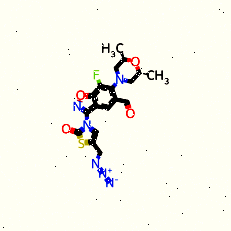 C[C@@H]1CN(c2c(C=O)cc3c(-n4cc(CN=[N+]=[N-])sc4=O)noc3c2F)C[C@@H](C)O1